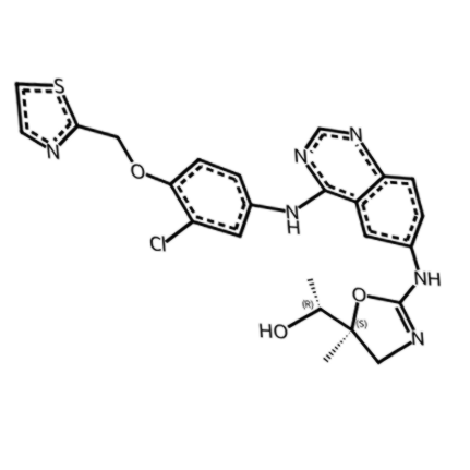 C[C@@H](O)[C@]1(C)CN=C(Nc2ccc3ncnc(Nc4ccc(OCc5nccs5)c(Cl)c4)c3c2)O1